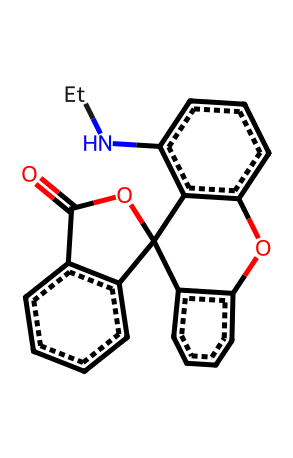 CCNc1cccc2c1C1(OC(=O)c3ccccc31)c1ccccc1O2